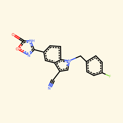 N#Cc1cn(Cc2ccc(F)cc2)c2ccc(-c3noc(=O)[nH]3)cc12